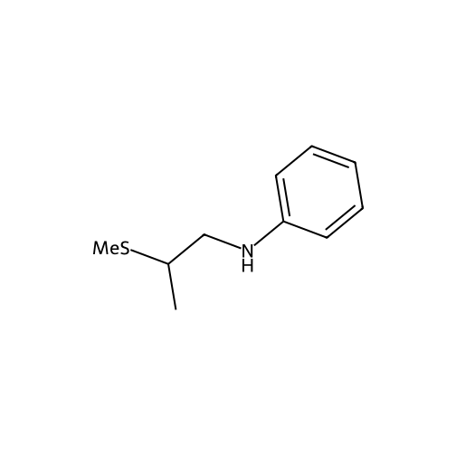 CSC(C)CNc1ccccc1